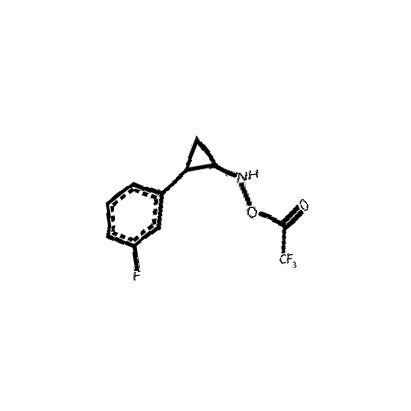 O=C(ONC1CC1c1cccc(F)c1)C(F)(F)F